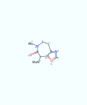 CNC1C(=O)N(C(C)(C)C)CCc2ncoc21